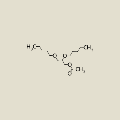 CCCCCOC[C@H](COC(C)=O)OCCCCC